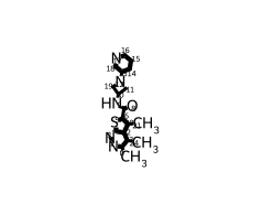 Cc1nnc2sc(C(=O)NC3CN(c4cccnc4)C3)c(C)c2c1C